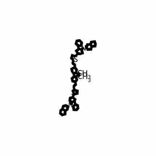 CC1(C)c2cc(/C=C/c3ccc(-c4ccc5c(c4)c4ccccc4n5-c4ccc5ccccc5c4)s3)ccc2-c2ccc(/C=C/c3ccc(-c4ccc5c(c4)c4ccccc4n5-c4ccc5ccccc5c4)s3)cc21